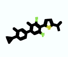 Cc1cc(-c2cc(F)c(-c3ccc(C(C)C)s3)c(F)c2C)ccc1C1CC1